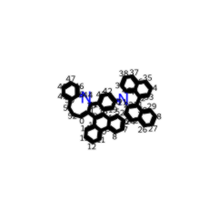 C1=C(c2cc3ccccc3c3ccccc23)\C(c2ccc(N3c4ccc5ccccc5c4-c4cccc5cccc3c45)cc2)=N/c2ccccc2CC/1